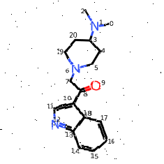 CN(C)C1CCN(CC(=O)C2=CN=C3C=CC=CC23)CC1